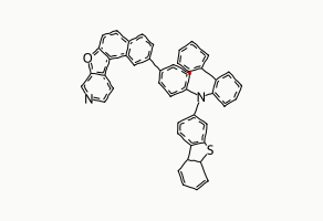 C1=CC2Sc3cc(N(c4ccc(-c5ccc6ccc7oc8cnccc8c7c6c5)cc4)c4ccccc4-c4ccccc4)ccc3C2C=C1